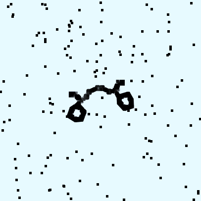 N=[N+](O[O][Cu][O]O[N+](=N)c1ccccc1)c1ccccc1